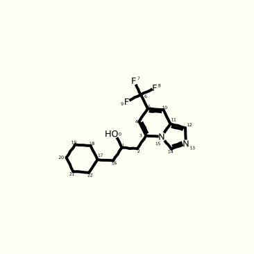 OC(Cc1cc(C(F)(F)F)cc2cncn12)CC1CCCCC1